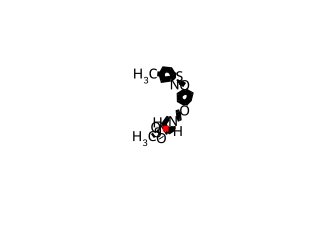 Cc1ccc2sc(Oc3ccc(OCCN4C[C@@H]5C[C@H]4CN5S(C)(=O)=O)cc3)nc2c1